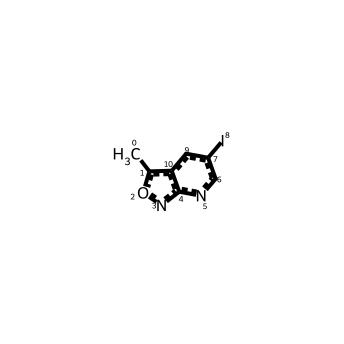 Cc1onc2ncc(I)cc12